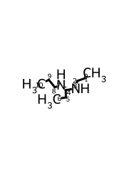 CCCN[C](CC)NCCC